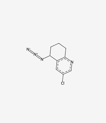 [N-]=[N+]=NC1CCCc2ncc(Cl)cc21